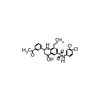 CCCc1cc(S(=O)(=O)Nc2ccc(Cl)c(Cl)c2)cc2c1NC(c1cccc(C(C)=O)c1)C[C@@H]2O